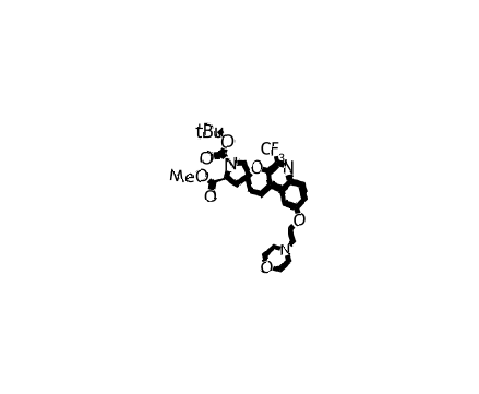 COC(=O)[C@@H]1CC2(CCc3c(c(C(F)(F)F)nc4ccc(OCCN5CCOCC5)cc34)O2)CN1C(=O)OC(C)(C)C